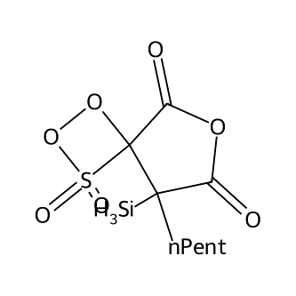 CCCCCC1([SiH3])C(=O)OC(=O)C12OOS2(=O)=O